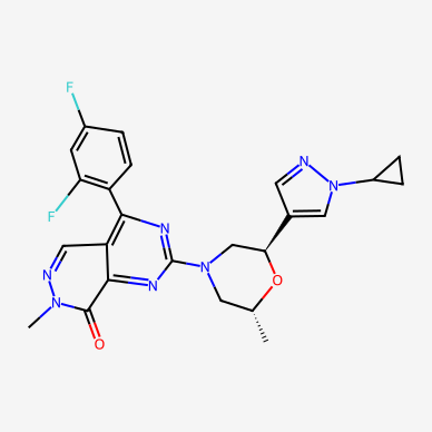 C[C@@H]1CN(c2nc(-c3ccc(F)cc3F)c3cnn(C)c(=O)c3n2)C[C@@H](c2cnn(C3CC3)c2)O1